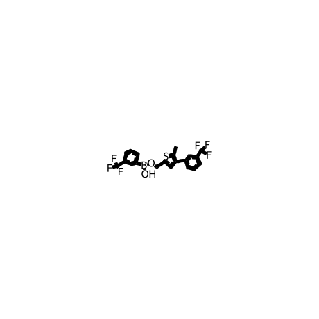 Cc1sc(COB(O)c2cccc(C(F)(F)F)c2)cc1-c1cccc(C(F)(F)F)c1